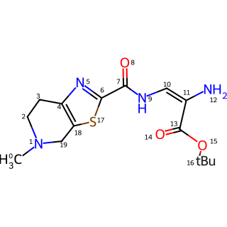 CN1CCc2nc(C(=O)N/C=C(/N)C(=O)OC(C)(C)C)sc2C1